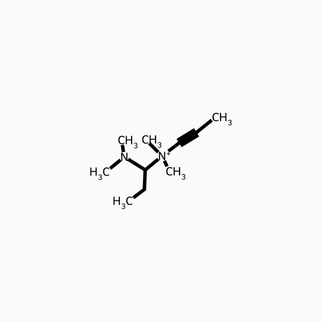 CC#C[N+](C)(C)C(CC)N(C)C